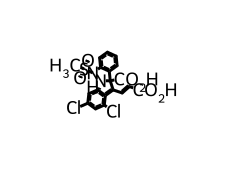 CS(=O)(=O)Nc1ccccc1C1(C(=O)O)N=c2cc(Cl)cc(Cl)c2=C1C=CC(=O)O